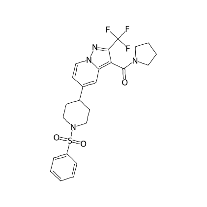 O=C(c1c(C(F)(F)F)nn2ccc(C3CCN(S(=O)(=O)c4ccccc4)CC3)cc12)N1CCCC1